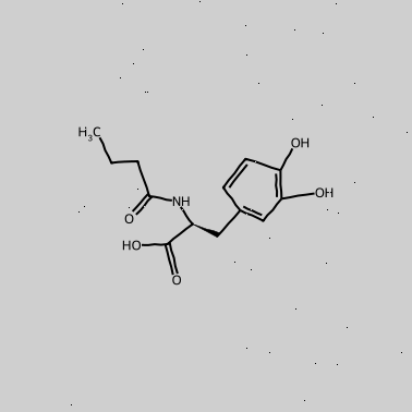 CCCC(=O)N[C@@H](Cc1ccc(O)c(O)c1)C(=O)O